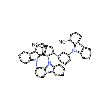 N#Cc1ccc(-c2cccc(-n3c4ccccc4c4cccc(C#N)c43)c2)c(-n2c3ccccc3c3cccc(-n4c5ccccc5c5ccccc54)c32)c1